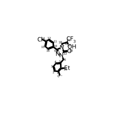 [CH2]c1cccc(Cn2nc(-c3ccc(Cl)cc3)n(C[C@H](O)C(F)(F)F)c2=O)c1CC